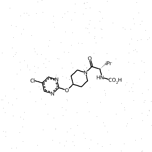 CC(C)[C@H](NC(=O)O)C(=O)N1CCC(Oc2ncc(Cl)cn2)CC1